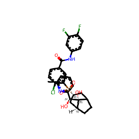 Cc1cccc([C@H](O)[C@@]2(O)C3CC[C@H]2C[C@H](S(=O)(=O)c2cc(C(=O)Nc4ccc(F)c(F)c4)ccc2Cl)C3)n1